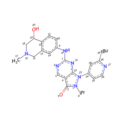 CC(C)n1c(=O)c2cnc(Nc3ccc4c(c3)CN(C)CC4O)nc2n1-c1ccnc(C(C)(C)C)c1